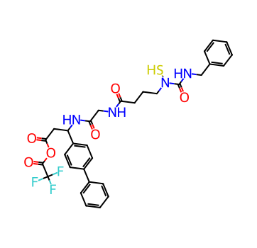 O=C(CCCN(S)C(=O)NCc1ccccc1)NCC(=O)NC(CC(=O)OC(=O)C(F)(F)F)c1ccc(-c2ccccc2)cc1